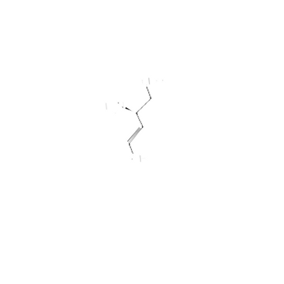 N[C@H](/C=C/O)CC=O